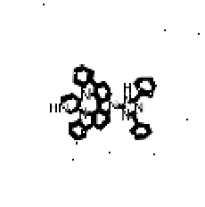 C1=Cc2c(n3c4ccccc4c4ccc5c(c6c(ccc7c8ccccc8n2c76)n5C2=NC(c5ccccc5)=NC(c5ccccc5)N2)c43)CN1